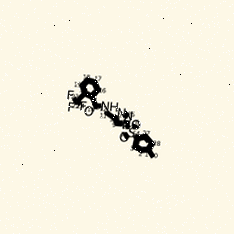 Cc1ccc(S(=O)(=O)n2cc(CNC(=O)c3ccccc3C(F)(F)F)nn2)cc1